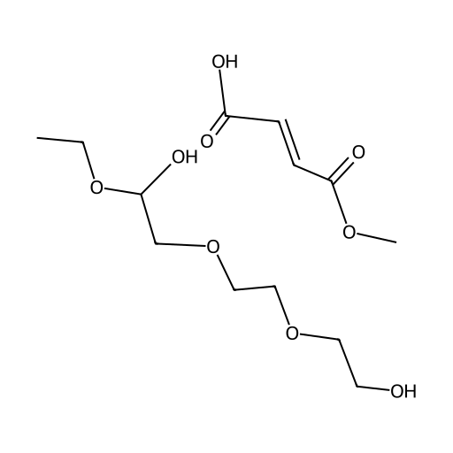 CCOC(O)COCCOCCO.COC(=O)/C=C/C(=O)O